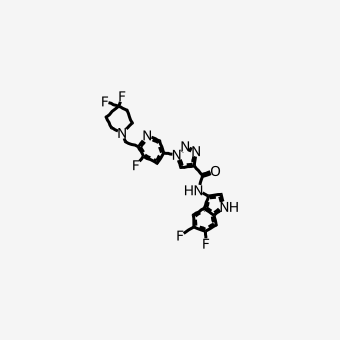 O=C(Nc1c[nH]c2cc(F)c(F)cc12)c1cn(-c2cnc(CN3CCC(F)(F)CC3)c(F)c2)nn1